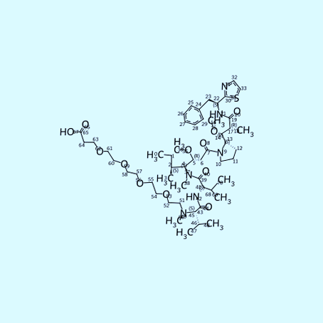 CC[C@H](C)[C@@H]([C@@H](CC(=O)N1CCC[C@H]1[C@H](OC)[C@@H](C)C(=O)N[C@@H](Cc1ccccc1)c1nccs1)OC)N(C)C(=O)[C@@H](NC(=O)[C@H](C(C)C)N(C)CCOCCOCCOCCOCCC(=O)O)C(C)C